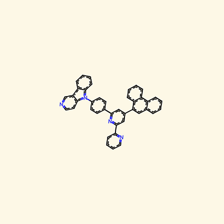 c1ccc(-c2cc(-c3cc4ccccc4c4ccccc34)cc(-c3ccc(-n4c5ccccc5c5cnccc54)cc3)n2)nc1